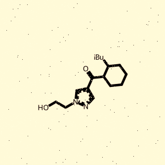 CCC(C)C1CCCCC1C(=O)c1cnn(CCO)c1